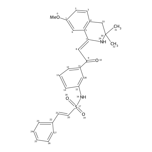 COc1ccc2c(c1)C(=CC(=O)c1cccc(NS(=O)(=O)C=Cc3ccccc3)c1)NC(C)(C)C2